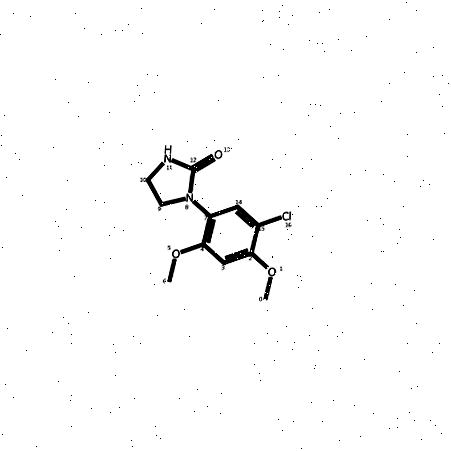 COc1cc(OC)c(N2CCNC2=O)cc1Cl